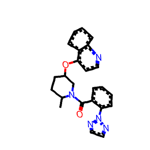 CC1CCC(Oc2ccnc3ccccc23)CN1C(=O)c1ccccc1-n1nccn1